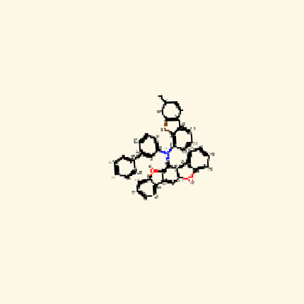 CC1C=Cc2c(sc3c(N(c4cccc(-c5ccccc5)c4)c4c5oc6ccccc6c5cc5oc6ccccc6c45)cccc23)C1